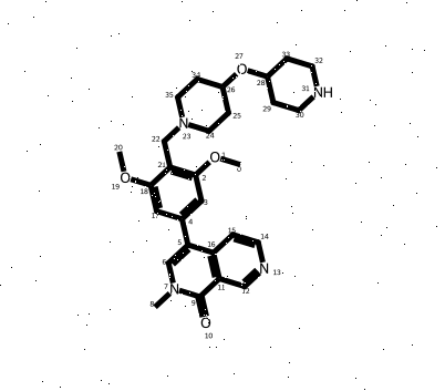 COc1cc(-c2cn(C)c(=O)c3cnccc23)cc(OC)c1CN1CCC(OC2CCNCC2)CC1